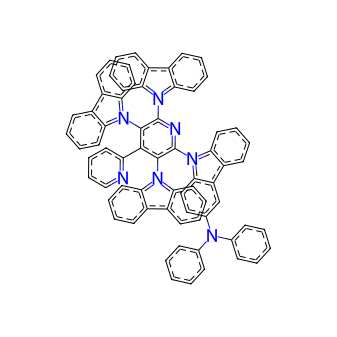 c1ccc(N(c2ccccc2)c2ccc3c(c2)c2ccccc2n3-c2nc(-n3c4ccccc4c4ccccc43)c(-n3c4ccccc4c4ccccc43)c(-c3ccccn3)c2-n2c3ccccc3c3ccccc32)cc1